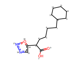 O=C(O)C(CCCCC1CCCCC1)c1cnno1